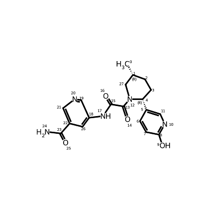 C[C@@H]1CC[C@H](c2ccc(O)nc2)N(C(=O)C(=O)Nc2cncc(C(N)=O)c2)C1